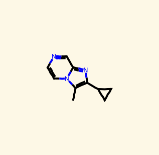 Cc1c(C2CC2)nc2cnccn12